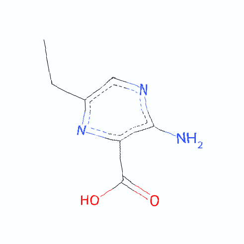 CCc1cnc(N)c(C(=O)O)n1